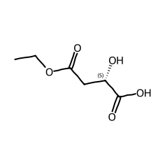 CCOC(=O)C[C@H](O)C(=O)O